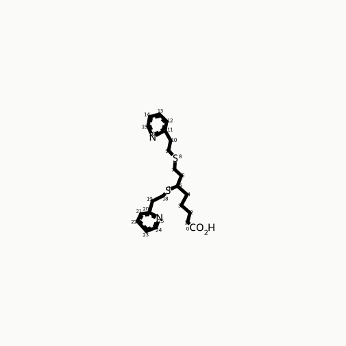 O=C(O)CCCCC(CCSCCc1ccccn1)SCCc1ccccn1